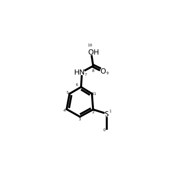 CSc1cccc(NC(=O)O)c1